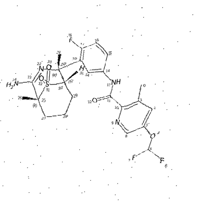 Cc1cc(OC(F)F)cnc1C(=O)Nc1ccc(F)c([C@@]2(C)N=C(N)[C@@]3(C)CCC[C@@H]2S3(=O)=O)c1